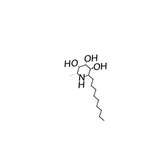 CCCCCCCCCC1N[C@H](C)[C@H](O)[C@H](O)[C@H]1O